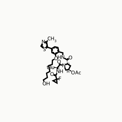 CC(=O)O[C@@H]1C[C@@H](C(=O)NCc2ccc(-c3scnc3C)cc2OCCCCCCCO)N(C(=O)[C@@H](NC(=O)C2(F)CC2)C(C)(C)C)C1